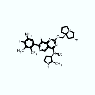 CCN(c1nc(OC[C@@]23CCCN2C[C@H](F)C3)nc2c(F)c(-c3cc(N)c(F)c(C)c3C(F)(F)F)ncc12)[C@@H]1CCN[C@@H]1C